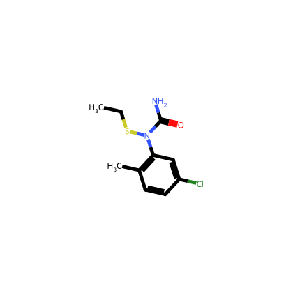 CCSN(C(N)=O)c1cc(Cl)ccc1C